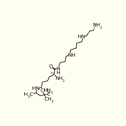 CC(CC(C)(C)C)NCCCC[C@H](N)C(=O)NCCCNCCCCNCCCN